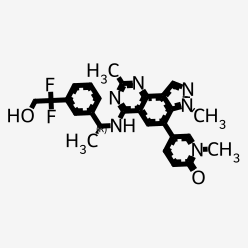 Cc1nc(N[C@H](C)c2cccc(C(F)(F)CO)c2)c2cc(-c3ccc(=O)n(C)c3)c3c(cnn3C)c2n1